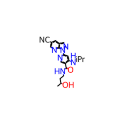 CC(O)CCNC(=O)c1cnc(-n2ncc3cc(C#N)cnc32)cc1NC(C)C